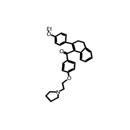 CCOc1ccc(C2=C(C(=O)c3ccc(OCCN4CCCC4)cc3)c3ccccc3CC2)cc1